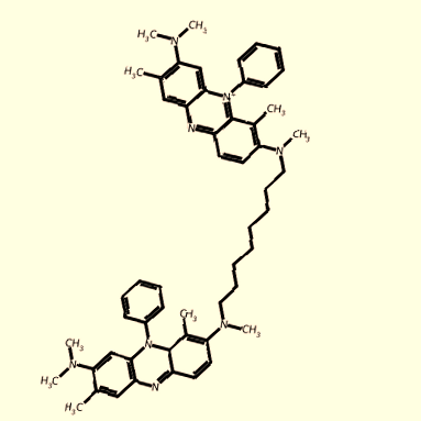 CC1=C(N(C)CCCCCCCCN(C)c2ccc3nc4cc(C)c(N(C)C)cc4[n+](-c4ccccc4)c3c2C)C=CC2=Nc3cc(C)c(N(C)C)cc3N(c3ccccc3)C21